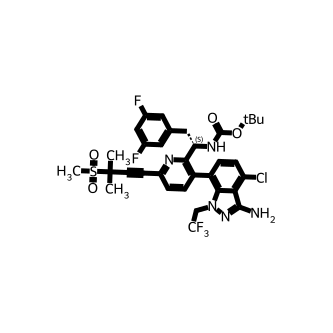 CC(C)(C)OC(=O)N[C@@H](Cc1cc(F)cc(F)c1)c1nc(C#CC(C)(C)S(C)(=O)=O)ccc1-c1ccc(Cl)c2c(N)nn(CC(F)(F)F)c12